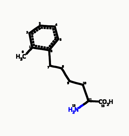 Cc1ccccc1CCCCC(N)C(=O)O